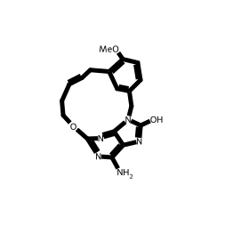 COc1ccc2cc1C/C=C/CCOc1nc(N)c3nc(O)n(c3n1)C2